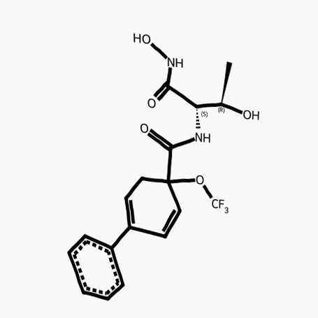 C[C@@H](O)[C@H](NC(=O)C1(OC(F)(F)F)C=CC(c2ccccc2)=CC1)C(=O)NO